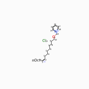 CCCCCCCC/C=C\CCCCCCCCOC[n+]1ccccc1.[Cl-]